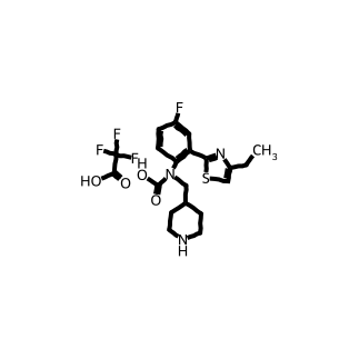 CCc1csc(-c2cc(F)ccc2N(CC2CCNCC2)C(=O)O)n1.O=C(O)C(F)(F)F